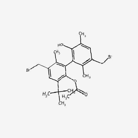 CC(=O)Oc1c(C(C)(C)C)cc(CBr)c(C)c1-c1c(C)c(CBr)cc(C)c1O